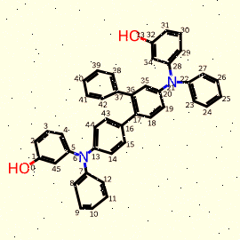 Oc1cccc(N(c2ccccc2)c2ccc(-c3ccc(N(c4ccccc4)c4cccc(O)c4)cc3-c3ccccc3)cc2)c1